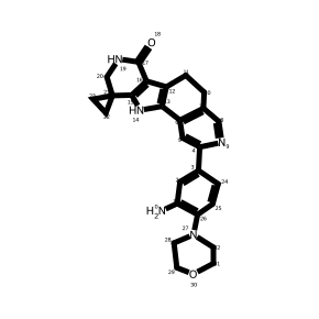 Nc1cc(-c2cc3c(cn2)CCc2c-3[nH]c3c2C(=O)NCC32CC2)ccc1N1CCOCC1